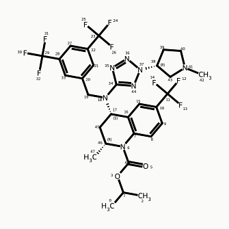 CC(C)OC(=O)N1c2ccc(C(F)(F)F)cc2[C@@H](N(Cc2cc(C(F)(F)F)cc(C(F)(F)F)c2)c2nnn([C@@H]3CCN(C)C3)n2)C[C@H]1C